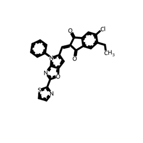 CCc1cc2c(cc1Cl)C(=O)/C(=C/c1cc3oc(-c4nccs4)nc3n1-c1ccccc1)C2=O